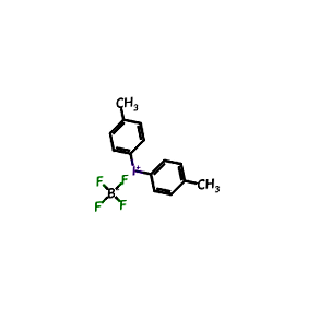 Cc1ccc([I+]c2ccc(C)cc2)cc1.F[B-](F)(F)F